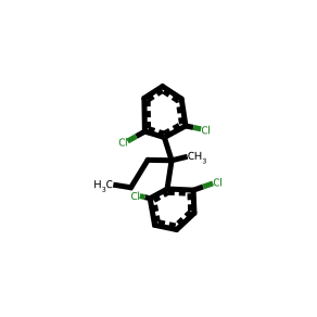 CCCC(C)(c1c(Cl)cccc1Cl)c1c(Cl)cccc1Cl